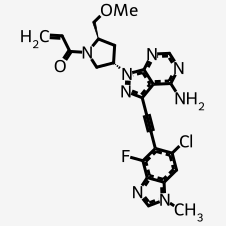 C=CC(=O)N1C[C@@H](n2nc(C#Cc3c(Cl)cc4c(ncn4C)c3F)c3c(N)ncnc32)C[C@@H]1COC